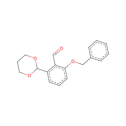 O=Cc1c(OCc2ccccc2)cccc1C1OCCCO1